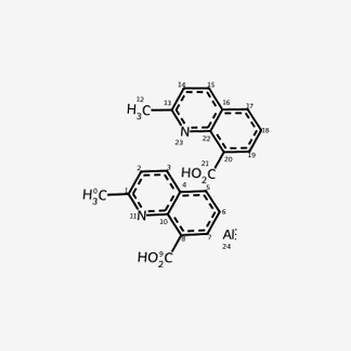 Cc1ccc2cccc(C(=O)O)c2n1.Cc1ccc2cccc(C(=O)O)c2n1.[Al]